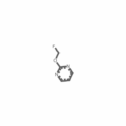 F[CH]Oc1ncccn1